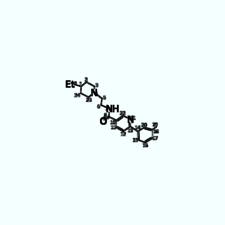 CCC1CCN(CCNC(=O)c2ccc(-c3cccc(C)c3)nc2)CC1